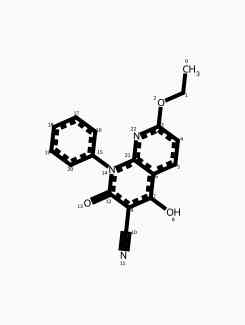 CCOc1ccc2c(O)c(C#N)c(=O)n(-c3ccccc3)c2n1